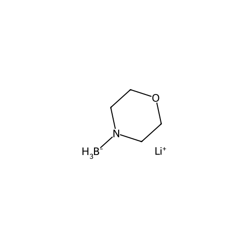 [BH3-]N1CCOCC1.[Li+]